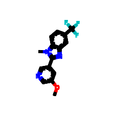 COc1cncc(-c2nc3cc(C(F)(F)F)ccc3n2C)c1